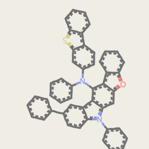 c1ccc(-c2ccc3c(c2)c2c(N(c4ccccc4)c4ccc5c(c4)sc4ccccc45)c4c(cc2n3-c2ccccc2)oc2ccccc24)cc1